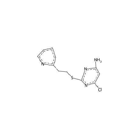 Nc1cc(Cl)nc(SCCc2ccccn2)n1